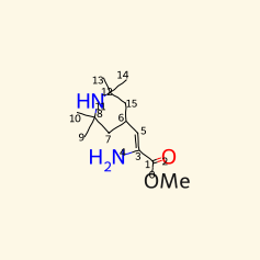 COC(=O)C(N)=CC1CC(C)(C)NC(C)(C)C1